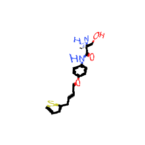 C[C@](N)(CO)C(=O)Nc1ccc(OCCCCC2CC=CS2)cc1